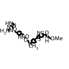 COCCNC(=O)/C(C#N)=C/c1ccc(-c2ccc(N(C)CCOC(=O)NCc3ccc(COc4nc(N)nc5[nH]cnc45)cc3)cc2)s1